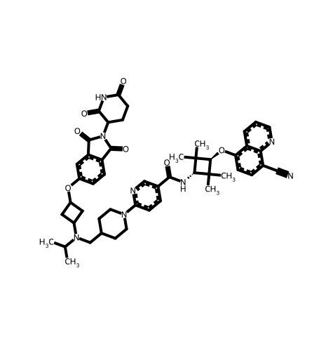 CC(C)N(CC1CCN(c2ccc(C(=O)N[C@H]3C(C)(C)[C@H](Oc4ccc(C#N)c5ncccc45)C3(C)C)cn2)CC1)C1CC(Oc2ccc3c(c2)C(=O)N(C2CCC(=O)NC2=O)C3=O)C1